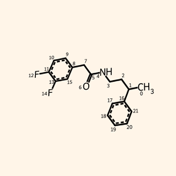 CC(CCNC(=O)Cc1ccc(F)c(F)c1)c1ccccc1